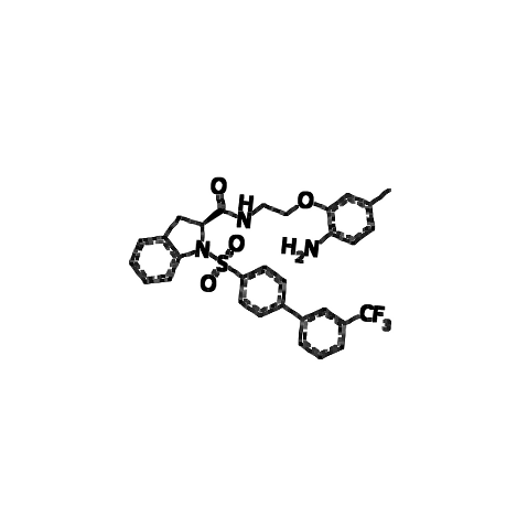 Cc1ccc(N)c(OCCNC(=O)[C@@H]2Cc3ccccc3N2S(=O)(=O)c2ccc(-c3cccc(C(F)(F)F)c3)cc2)c1